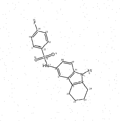 CCn1c2c(c3cc(NS(=O)(=O)c4ccc(F)cc4)ccc31)CCCC2